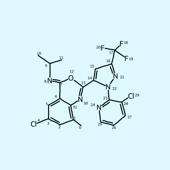 Cc1cc(Cl)cc2c(=NC(C)C)oc(-c3cc(C(F)(F)F)nn3-c3ncccc3Cl)nc12